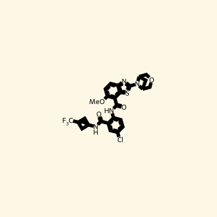 COc1ccc2nc(N3C4COCC3C4)sc2c1C(=O)Nc1ccc(Cl)cc1C(=O)NC12CC(C(F)(F)F)(C1)C2